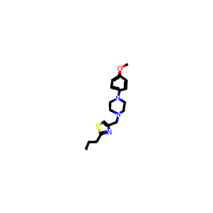 CCCc1nc(CN2CCN(c3ccc(OC)cc3)CC2)cs1